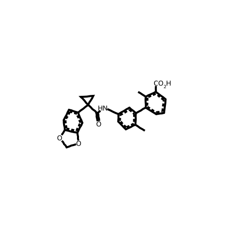 Cc1ccc(NC(=O)C2(c3ccc4c(c3)OCO4)CC2)cc1-c1cccc(C(=O)O)c1C